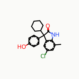 Cc1cc(Cl)cc2c1NC(=O)C2(c1ccc(O)cc1)C1CCCCC1